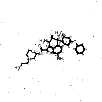 CCCN1CCCC(NC(=O)c2sc3c(N)ccc4c3c2C(N)C(=O)C4(N)c2ccc(Oc3ccccc3)cc2C)C1